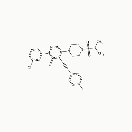 CC(C)S(=O)(=O)N1CCN(c2cnn(-c3cccc(Cl)c3)c(=O)c2C#Cc2ccc(F)cc2)CC1